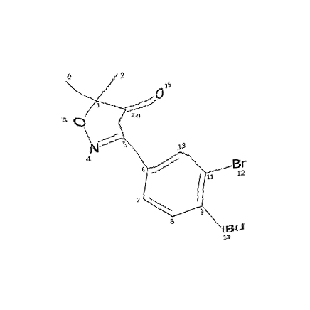 CC1(C)ON=C(c2ccc(C(C)(C)C)c(Br)c2)C1=O